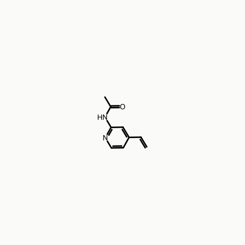 C=Cc1ccnc(NC(C)=O)c1